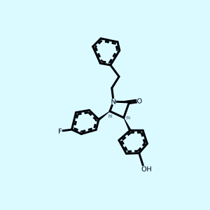 O=C1[C@@H](c2ccc(O)cc2)[C@@H](c2ccc(F)cc2)N1CCc1ccccc1